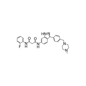 CN1CCN(Cc2ccc(-c3n[nH]c4cc(NC(=O)CC(=O)Nc5ccccc5F)ccc34)cc2)CC1